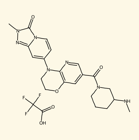 CNC1CCCN(C(=O)c2cnc3c(c2)OCCN3c2ccn3c(=O)n(C)nc3c2)C1.O=C(O)C(F)(F)F